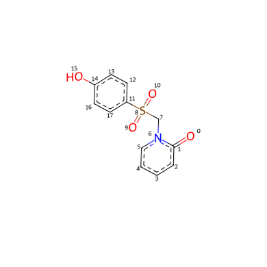 O=c1ccccn1CS(=O)(=O)c1ccc(O)cc1